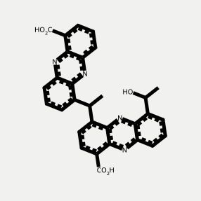 CC(O)c1cccc2nc3c(C(=O)O)ccc(C(C)c4cccc5nc6c(C(=O)O)cccc6nc45)c3nc12